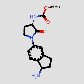 CC(C)(C)OC(=O)N[C@H]1CCN(c2ccc3c(c2)CCC3N)C1=O